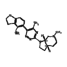 Cc1nc(N2CC[C@H]3CCN(C)C[C@H]32)nnc1-c1ccc2c(c1O)CCO2